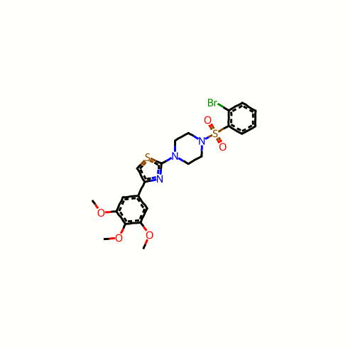 COc1cc(-c2csc(N3CCN(S(=O)(=O)c4ccccc4Br)CC3)n2)cc(OC)c1OC